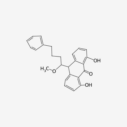 COC(CCCc1ccccc1)C1c2cccc(O)c2C(=O)c2c(O)cccc21